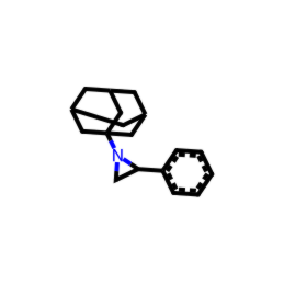 c1ccc(C2CN2C23CC4CC(CC(C4)C2)C3)cc1